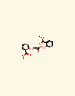 COC(=O)c1ccccc1OCC(=O)COc1ccccc1C(=O)OC